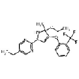 CCOC1(C)NN(c2ncc(CC)cn2)C=C1Oc1ccccc1C(F)(F)F